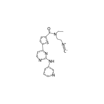 [C-]#[N+]CCN(CC)C(=O)c1ccc(-c2ccnc(Nc3cccnc3)n2)s1